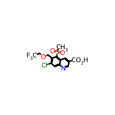 CS(=O)(=O)c1c(COCC(F)(F)F)c(Cl)cc2ncc(C(=O)O)cc12